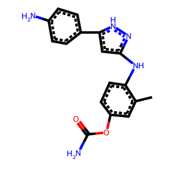 Cc1cc(OC(N)=O)ccc1Nc1cc(-c2ccc(N)cc2)[nH]n1